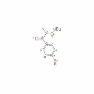 CCC(C)OC(C)C(=O)c1ccc(Br)cc1